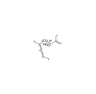 C=C(C)C(=O)O.CC=C=C(C)C(=O)O